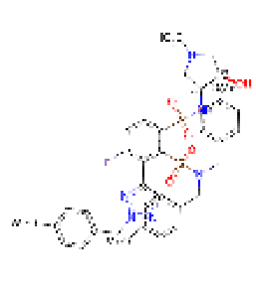 COc1ccc(CN(Cc2ccc(OC)cc2)S(=O)(=O)c2c(S(=O)(=O)N[C@H]3CN(C(=O)O)C[C@H]3O)ccc(I)c2-c2cnn(Cc3ccc(OC)cc3)n2)cc1